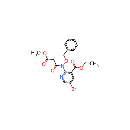 CCOC(=O)c1cc(Br)cnc1N(OCc1ccccc1)C(=O)CC(=O)OC